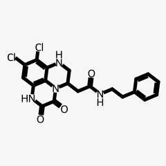 O=C(CC1CNc2c(Cl)c(Cl)cc3[nH]c(=O)c(=O)n1c23)NCCc1ccccc1